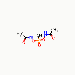 CC(=O)NOP(C)(=O)ONC(C)=O